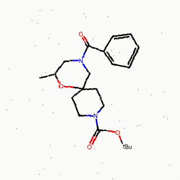 CC1CN(C(=O)c2ccccc2)CC2(CCN(C(=O)OC(C)(C)C)CC2)O1